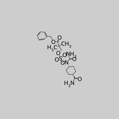 CC(C)(COS(=O)(=O)ON(C(N)=O)[C@H]1CC[C@H](C(N)=O)CC1)C(=O)OCc1ccccc1